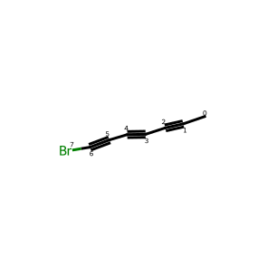 CC#CC#CC#CBr